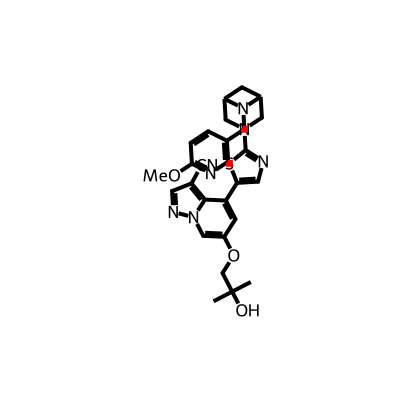 COc1ccc(CN2C3CC2CN(c2ncc(-c4cc(OCC(C)(C)O)cn5ncc(C#N)c45)s2)C3)cn1